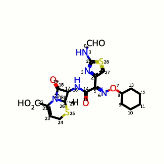 O=CNc1nc(/C(=N\OC2CCCCC2)C(=O)NC2C(=O)N3C(C(=O)O)=CCS[C@H]23)cs1